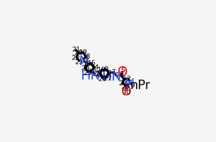 CCCN1CC(C(=O)NCc2ccc(Nc3ccc(N4CCC(C)CC4)cc3)cc2)CC1=O